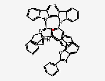 C1=CCCC(c2cc(-c3cccc4nc(-c5ccccc5)oc34)cc(-n3c4ccccc4c4ccc5c6ccccc6n(-c6nc(-c7ccccc7)nc(-c7ccccc7)n6)c5c43)c2)=C1